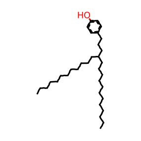 CCCCCCCCCCCCC(CCCCCCCCCCCC)CCCc1ccc(O)cc1